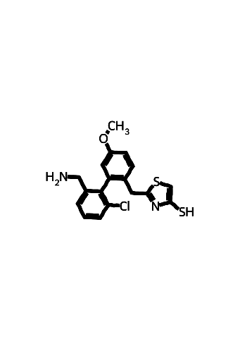 COc1ccc(Cc2nc(S)cs2)c(-c2c(Cl)cccc2CN)c1